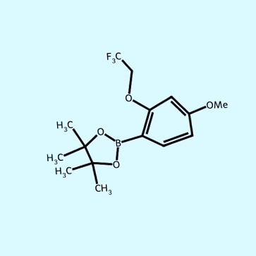 COc1ccc(B2OC(C)(C)C(C)(C)O2)c(OCC(F)(F)F)c1